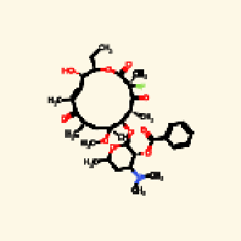 CC[C@H]1OC(=O)[C@@](C)(F)C(=O)[C@H](C)[C@@H](OC2O[C@H](C)C[C@H](N(C)C)[C@H]2OC(=O)c2ccccc2)[C@@](C)(OC)C[C@@H](C)C(=O)/C(C)=C/[C@@H]1O